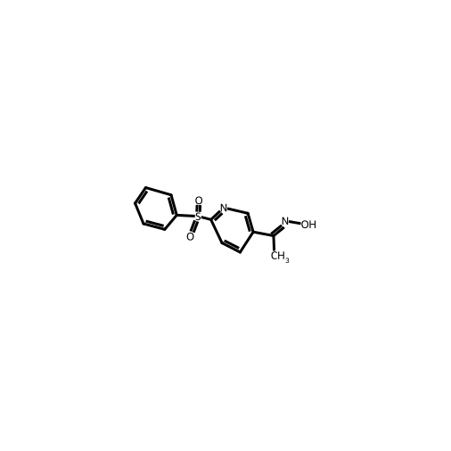 CC(=NO)c1ccc(S(=O)(=O)c2ccccc2)nc1